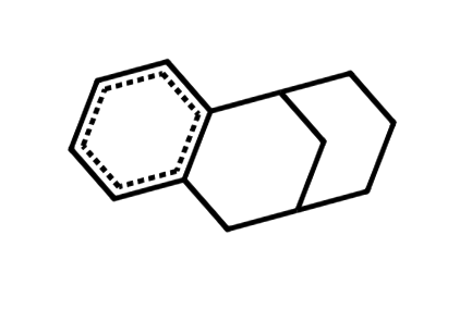 c1ccc2c(c1)CC1CCCC2C1